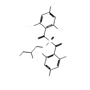 Cc1cc(C)c(C(=O)P(=O)(OCC(O)CO)C(=O)c2c(C)cc(C)cc2C)c(C)c1